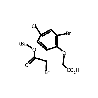 CC(C)(C)OC(=O)CBr.O=C(O)COc1ccc(Cl)cc1Br